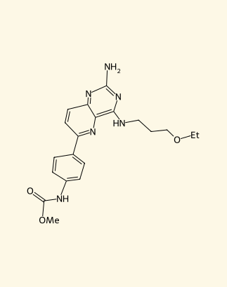 CCOCCCNc1nc(N)nc2ccc(-c3ccc(NC(=O)OC)cc3)nc12